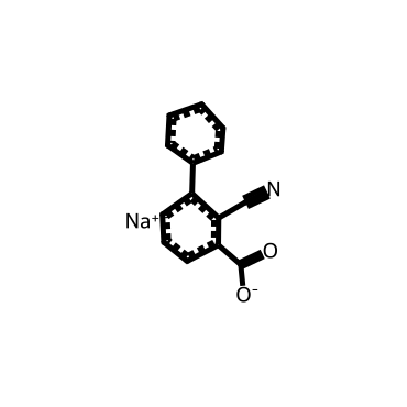 N#Cc1c(C(=O)[O-])cccc1-c1ccccc1.[Na+]